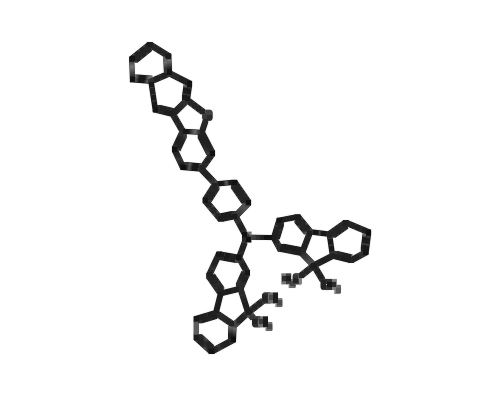 CC1(C)c2ccccc2-c2ccc(N(c3ccc(-c4ccc5c(c4)oc4cc6ccccc6cc45)cc3)c3ccc4c(c3)C(C)(C)c3ccccc3-4)cc21